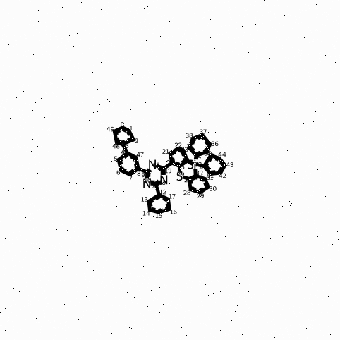 c1ccc(-c2cccc(-c3nc(-c4ccccc4)nc(-c4cccc5c4Sc4ccccc4[Si]5(c4ccccc4)c4ccccc4)n3)c2)cc1